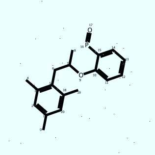 Cc1cc(C)c(CC(C)Oc2ccccc2P=O)c(C)c1